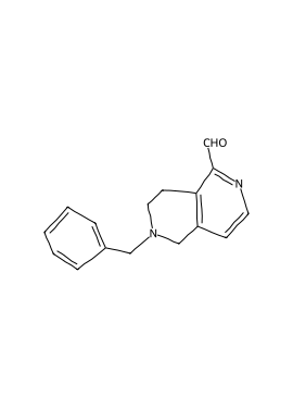 O=Cc1nccc2c1CCN(Cc1ccccc1)C2